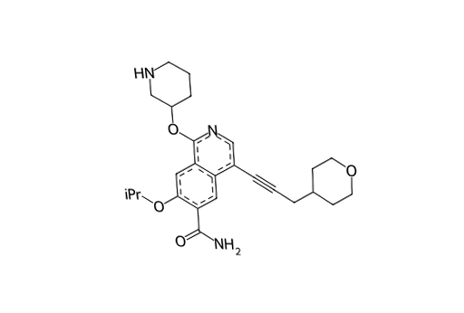 CC(C)Oc1cc2c(OC3CCCNC3)ncc(C#CCC3CCOCC3)c2cc1C(N)=O